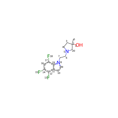 CC1(O)CCN(CCn2ccc3c(F)c(F)cc(F)c32)C1